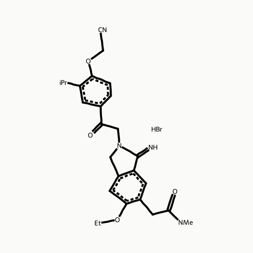 Br.CCOc1cc2c(cc1CC(=O)NC)C(=N)N(CC(=O)c1ccc(OCC#N)c(C(C)C)c1)C2